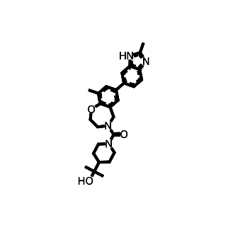 Cc1nc2ccc(-c3cc(C)c4c(c3)CN(C(=O)N3CCC(C(C)(C)O)CC3)CCO4)cc2[nH]1